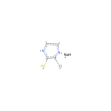 Sc1nccnc1Cl.[NaH]